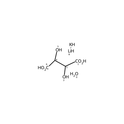 O.O=C(O)C(O)C(O)C(=O)O.[KH].[LiH]